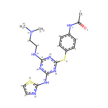 CCC(=O)Nc1ccc(Sc2nc(NCCN(C)C)nc(Nc3nccs3)n2)cc1